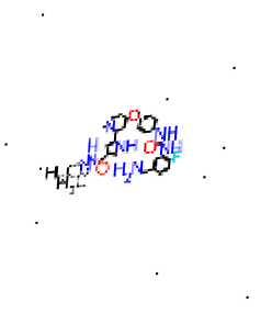 CCN(CC)NC(=O)c1c[nH]c(-c2cc(Oc3ccc(NC(=O)Nc4cc(CN)ccc4F)cc3)ccn2)c1